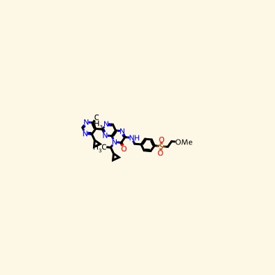 COCCS(=O)(=O)c1ccc(CNc2nc3cnc(-c4c(C)ncnc4C4CC4)nc3n(C(C)C3CC3)c2=O)cc1